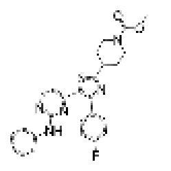 CCOC(=O)N1CCC(c2nc(-c3ccc(F)cc3)c(-c3ccnc(Nc4ccccc4)n3)s2)CC1